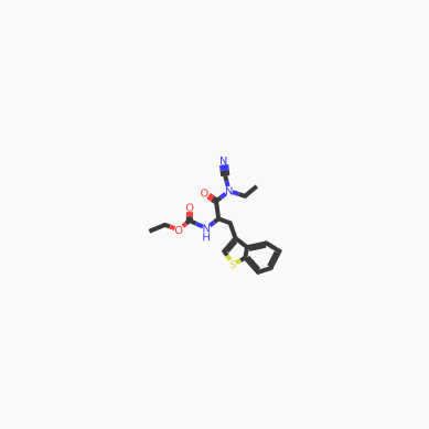 CCOC(=O)NC(Cc1csc2ccccc12)C(=O)N(C#N)CC